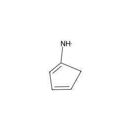 [NH]C1=CC=CC1